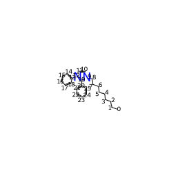 CCCCCCCCCN1C=CN(c2ccccc2)C1c1ccccc1